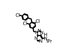 CC(C)Nc1ncnc2c1nnn2Cc1cc(Cl)c(Cc2ccc(Cl)cc2)c(Cl)c1